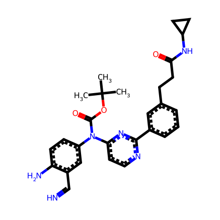 CC(C)(C)OC(=O)N(c1ccc(N)c(C=N)c1)c1ccnc(-c2cccc(CCC(=O)NC3CC3)c2)n1